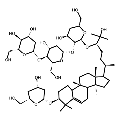 C[C@H](CC[C@@H](O[C@@H]1O[C@H](CO)C[C@H](O)[C@H]1O[C@H]1C[C@@H](O)[C@H](O[C@H]2C[C@@H](O)[C@H](O)[C@@H](CO)O2)[C@@H](CO)O1)C(C)(C)O)C1CC[C@@]2(C)C3CC=C4C(CC[C@H](O[C@H]5C[C@@H](O)C[C@@H](CO)O5)C4(C)C)[C@]3(C)CC[C@]12C